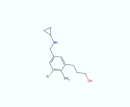 Cc1c(Br)cc(CNC2CC2)cc1CCCO